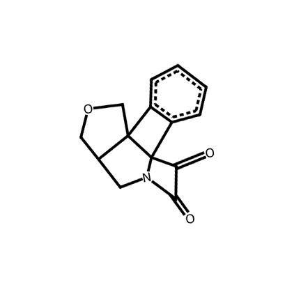 O=C1C(=O)C23c4ccccc4C24COCC4CN13